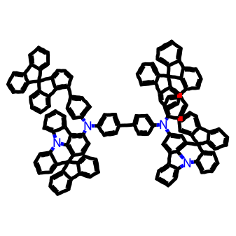 c1ccc2c(c1)-c1ccccc1C21c2ccccc2-c2c(-c3ccc(N(c4ccc(-c5ccc(N(c6ccc(-c7cccc8c7C7(c9ccccc9-c9ccccc97)c7ccccc7-8)cc6)c6cc7c8c(c6)c6ccccc6n8-c6ccccc6C76c7ccccc7-c7ccccc76)cc5)cc4)c4ccc5c6c4c4ccccc4n6-c4ccccc4C54c5ccccc5-c5ccccc54)cc3)cccc21